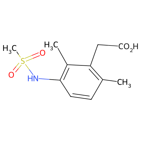 Cc1ccc(NS(C)(=O)=O)c(C)c1CC(=O)O